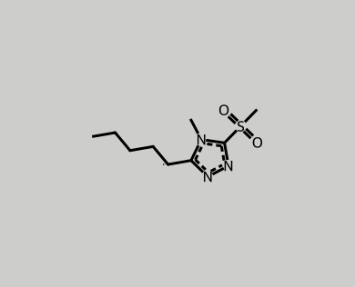 CCCC[CH]c1nnc(S(C)(=O)=O)n1C